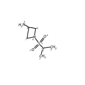 CN(C)S(=O)(=O)N1CC(N)C1